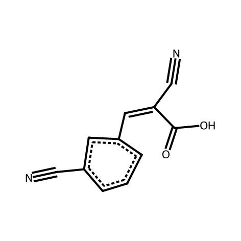 N#CC(=Cc1cccc(C#N)c1)C(=O)O